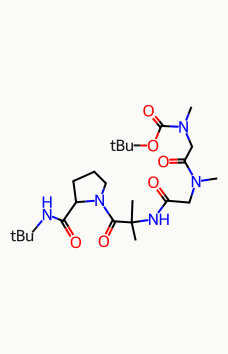 CN(CC(=O)NC(C)(C)C(=O)N1CCCC1C(=O)NC(C)(C)C)C(=O)CN(C)C(=O)OC(C)(C)C